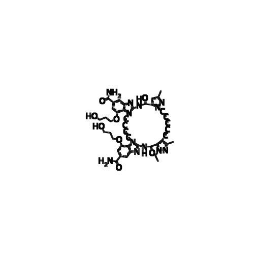 CCn1nc(C)c2c1C(=O)Nc1nc3cc(C(N)=O)cc(OCCCO)c3n1CCCCn1c(nc3cc(C(N)=O)cc(OCCCO)c31)NC(=O)c1cc(C)nn1CCCCC2